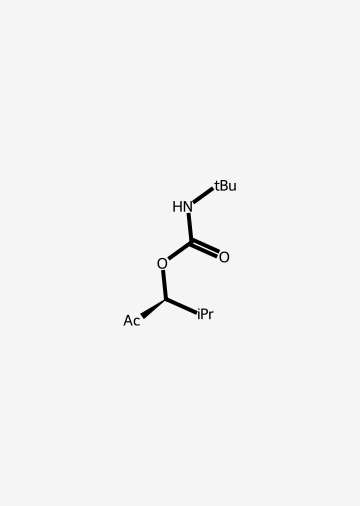 CC(=O)[C@@H](OC(=O)NC(C)(C)C)C(C)C